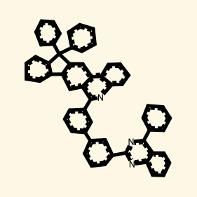 c1ccc(-c2nc(-c3cccc(-c4cccc(-c5nc6ccccc6c6cc7c(cc56)-c5ccccc5C7(c5ccccc5)c5ccccc5)c4)c3)nc3ccccc23)cc1